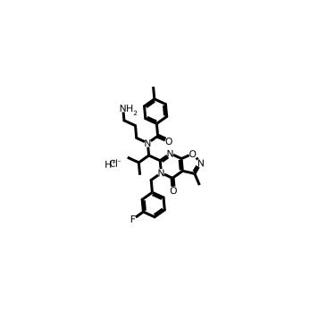 Cc1ccc(C(=O)N(CCCN)C(c2nc3onc(C)c3c(=O)n2Cc2cccc(F)c2)C(C)C)cc1.[Cl-].[H+]